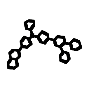 c1ccc(-c2ccc(-c3ccc(N(c4ccccc4)c4ccc(-c5ccc6ccccc6c5)cc4)cc3)cc2-c2ccccc2)cc1